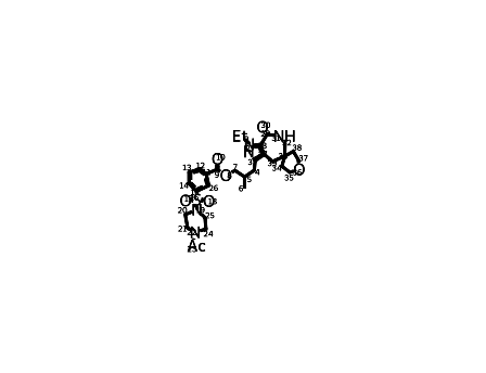 CCn1nc(CC(C)COC(=O)c2cccc(S(=O)(=O)N3CCN(C(C)=O)CC3)c2)c2c1C(=O)NCC1(CCOCC1)C2